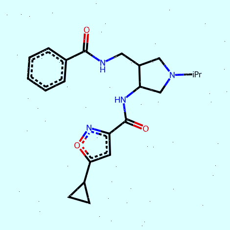 CC(C)N1CC(CNC(=O)c2ccccc2)C(NC(=O)c2cc(C3CC3)on2)C1